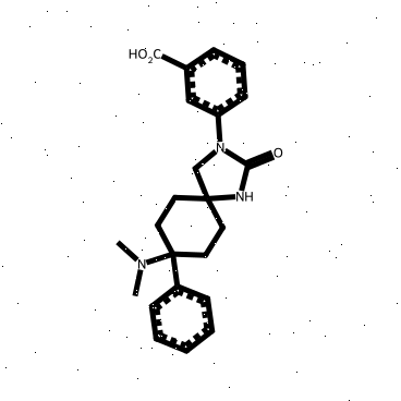 CN(C)C1(c2ccccc2)CCC2(CC1)CN(c1cccc(C(=O)O)c1)C(=O)N2